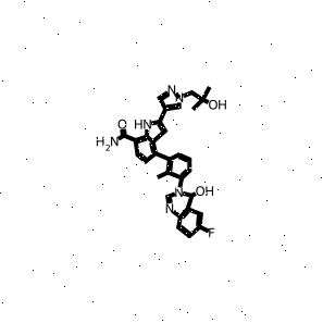 Cc1c(-c2ccc(C(N)=O)c3[nH]c(-c4cnn(CC(C)(C)O)c4)cc23)cccc1N1C=Nc2ccc(F)cc2C1O